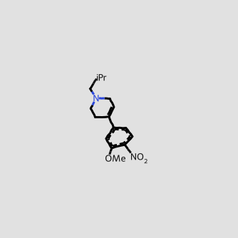 COc1cc(C2=CCN(CC(C)C)CC2)ccc1[N+](=O)[O-]